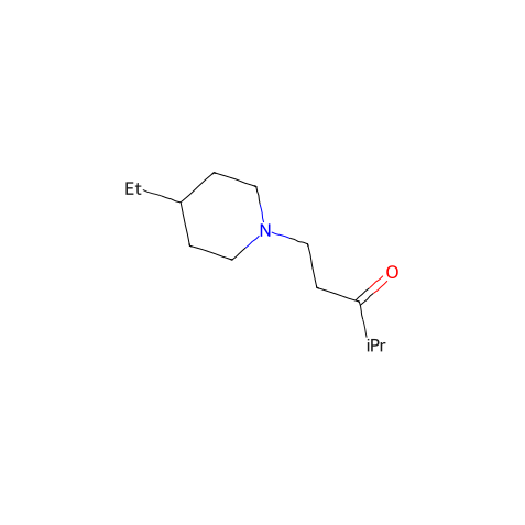 CCC1CCN(CCC(=O)C(C)C)CC1